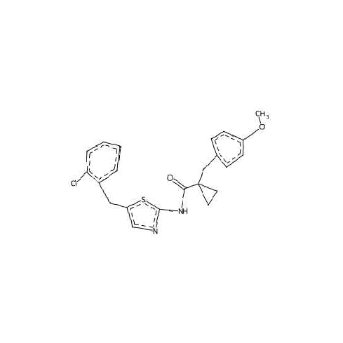 COc1ccc(CC2(C(=O)Nc3ncc(Cc4ccccc4Cl)s3)CC2)cc1